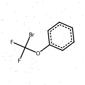 FC(F)(Br)Oc1[c]cccc1